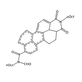 CCCCCCCCN(C=O)C(=O)c1ccc2c3c4c(c5cccc1c25)=CC=C1C(=O)N(CCCCCCCC)C(=O)C(CC3)C14